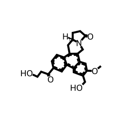 COc1cc2c3c(c4ccc(C(=O)CCO)cc4c2cc1CO)C[C@@H]1CCC(=O)N1C3